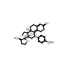 C=C1CCO[C@@]12CC[C@H]1[C@@H]3CCC4=CC(=O)CCC4=C3[C@@H](c3ccc(OC)cc3)C[C@@]12C